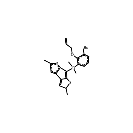 C=CCOc1c(C(C)(C)C)cccc1[Si](C)(C)C1=C2SC(C)C=C2c2cc(C)sc21